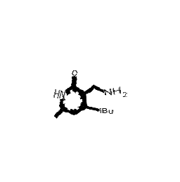 CCC(C)c1cc(C)[nH]c(=O)c1CN